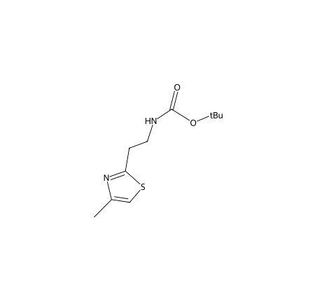 Cc1csc(CCNC(=O)OC(C)(C)C)n1